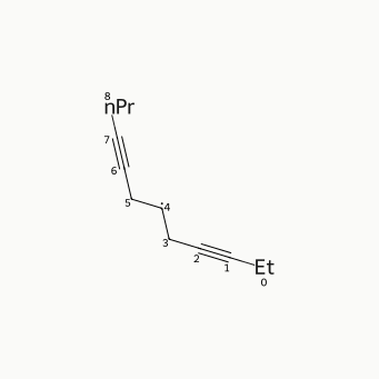 CCC#CC[CH]CC#CCCC